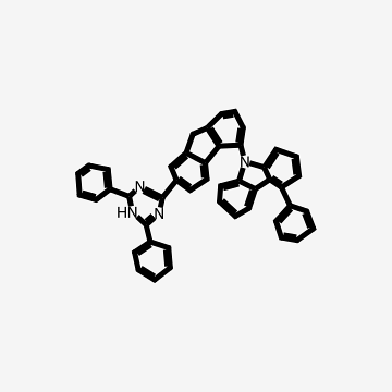 c1ccc(C2=NC(c3ccc4c(c3)Cc3cccc(-n5c6ccccc6c6c(-c7ccccc7)cccc65)c3-4)=NC(c3ccccc3)N2)cc1